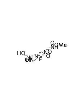 COC(=O)NC[C@H]1CN(c2ccc(N3CCNN(C(=O)CCO)CC3)c(F)c2)C(=O)O1